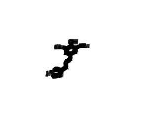 CC(C)(C)c1cc(CCCc2cc[nH]c2)cc(C(C)(C)C)c1O